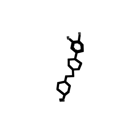 Fc1ccc(C2CCC(CCC3CCC(S)CC3)CC2)cc1F